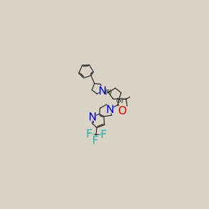 CC(C)[C@]1(C(=O)N2CCc3ncc(C(F)(F)F)cc3C2)CC[C@@H](N2CCC(c3ccccc3)C2)C1